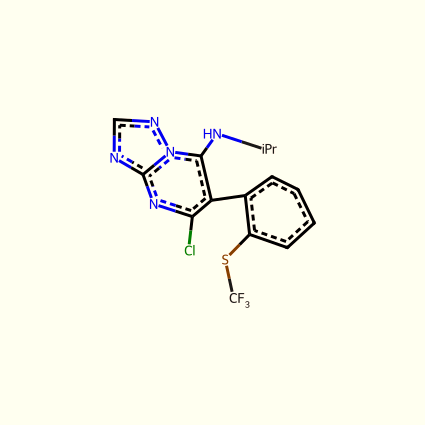 CC(C)Nc1c(-c2ccccc2SC(F)(F)F)c(Cl)nc2ncnn12